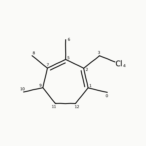 CC1=C(CCl)C(C)=C(C)C(C)CC1